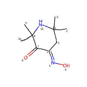 CC1(C)C/C(=N\O)C(=O)C(C)(C)N1